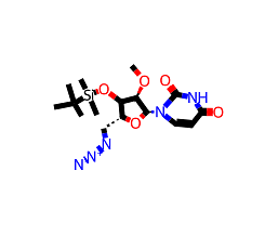 CO[C@@H]1C(O[Si](C)(C)C(C)(C)C)[C@@H](CN=[N+]=[N-])O[C@H]1n1ccc(=O)[nH]c1=O